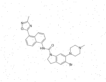 Cc1noc(-c2cccc3c(NC(=O)N4CCc5cc(Br)c(N6CCN(C)CC6)cc54)cccc23)n1